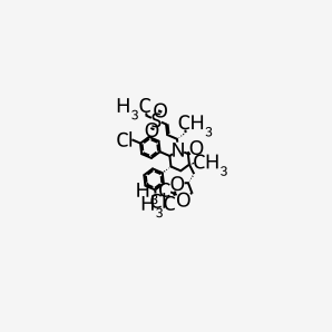 CC[C@@H](/C=C/S(=O)(=O)CC)N1C(=O)[C@@](C)(C[C@@H]2COC(C)(C)O2)C[C@H](c2cccc(Cl)c2)C1c1ccc(Cl)cc1